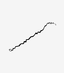 NCCCCC=CCC=CCC=CCC=CCCCCCCCCl